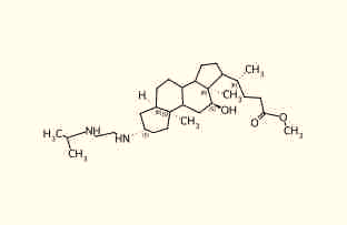 COC(=O)CC[C@@H](C)C1CCC2C3CC[C@@H]4C[C@@H](NCCNC(C)C)CC[C@]4(C)C3C[C@H](O)[C@@]21C